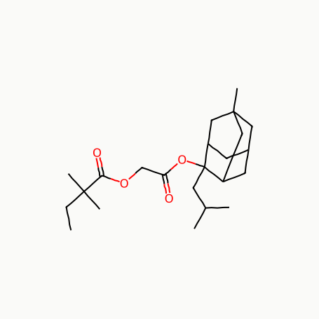 CCC(C)(C)C(=O)OCC(=O)OC1(CC(C)C)C2CC3CC1CC(C)(C3)C2